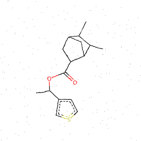 CC(OC(=O)C1CC2CC1C(C)C2C)c1ccsc1